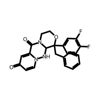 O=C1c2cc(=O)ccn2NC2N1CCOC2(Cc1ccccc1)c1ccc(F)c(F)c1